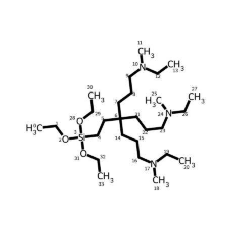 CCO[Si](CCC(CCCN(C)CC)(CCCN(C)CC)CCCN(C)CC)(OCC)OCC